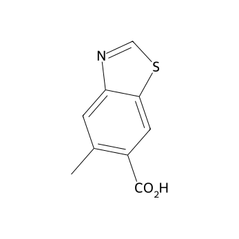 Cc1cc2ncsc2cc1C(=O)O